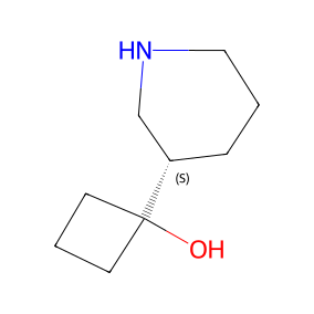 OC1([C@H]2CCCNC2)CCC1